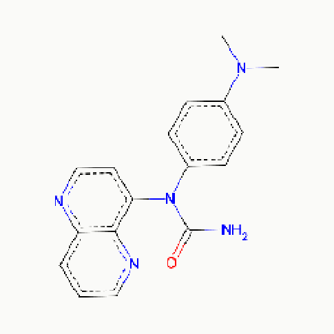 CN(C)c1ccc(N(C(N)=O)c2ccnc3cccnc23)cc1